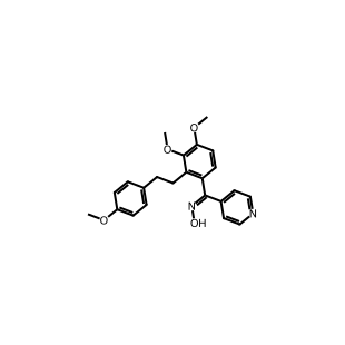 COc1ccc(CCc2c(C(=NO)c3ccncc3)ccc(OC)c2OC)cc1